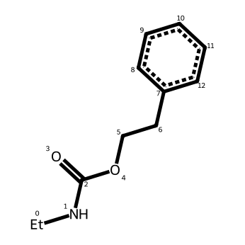 CCNC(=O)OCCc1ccccc1